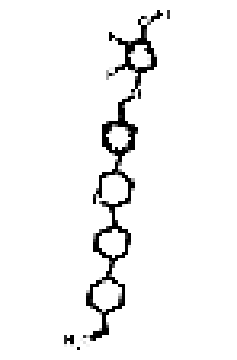 C=CC1CCC(C2CCC(C3CCC(c4ccc(COc5ccc(OCC)c(F)c5F)cc4)CO3)CC2)CC1